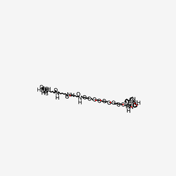 Cc1ccc(NC(=O)NCCOCCOCCOCCOCCOCCOCCOCCOCCOCCNC(=O)CCCCCNC(=O)CCCCCNC(=O)CCCC[C@@H]2SC[C@@H]3NC(=O)N[C@@H]32)cc1Nc1nccc(-c2cccnc2)n1